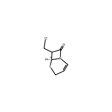 O=C1C(CCl)[C@@H]2SCC=CN12